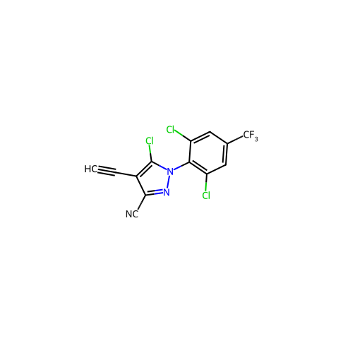 C#Cc1c(C#N)nn(-c2c(Cl)cc(C(F)(F)F)cc2Cl)c1Cl